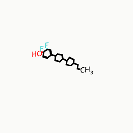 CCCC1CCC(C2CCC(C3=CC(F)C(O)(F)C=C3)CC2)CC1